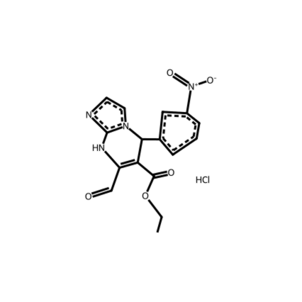 CCOC(=O)C1=C(C=O)Nc2nccn2C1c1cccc([N+](=O)[O-])c1.Cl